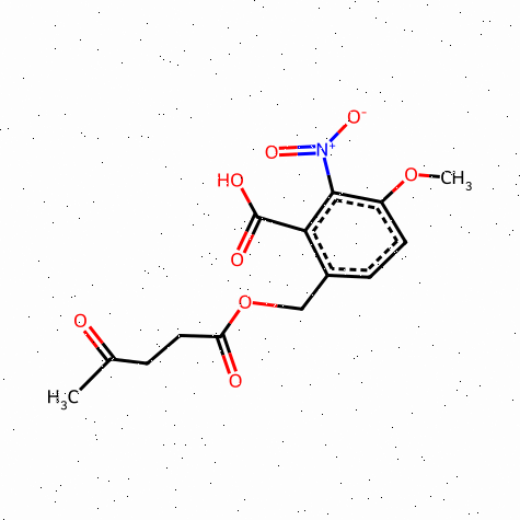 COc1ccc(COC(=O)CCC(C)=O)c(C(=O)O)c1[N+](=O)[O-]